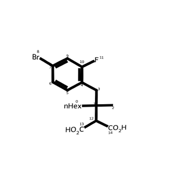 CCCCCCC(C)(Cc1ccc(Br)cc1F)C(C(=O)O)C(=O)O